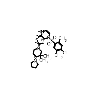 Cc1cc(S(=O)(=O)N2C=CNC(=O)[C@H]2CC(=O)N2CC[C@H](N3CCCC3)C(C)(C)C2)c(C)cc1Cl